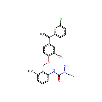 C=C(c1cccc(Cl)c1)c1ccc(OCc2c(C)cccc2NC(=O)N(C)N)c(C)c1